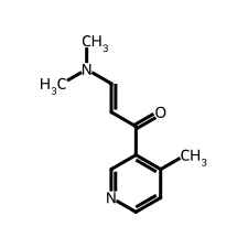 Cc1ccncc1C(=O)C=CN(C)C